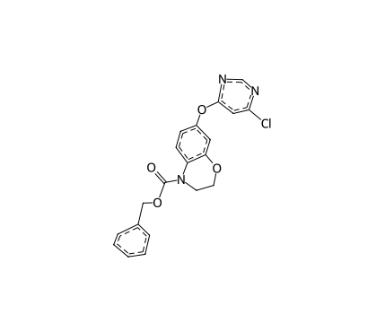 O=C(OCc1ccccc1)N1CCOc2cc(Oc3cc(Cl)ncn3)ccc21